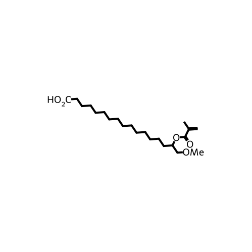 C=C(C)C(=O)OC(CCCCCCCCCCCCCCC(=O)O)COC